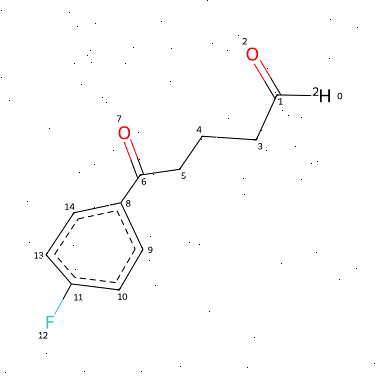 [2H]C(=O)CCCC(=O)c1ccc(F)cc1